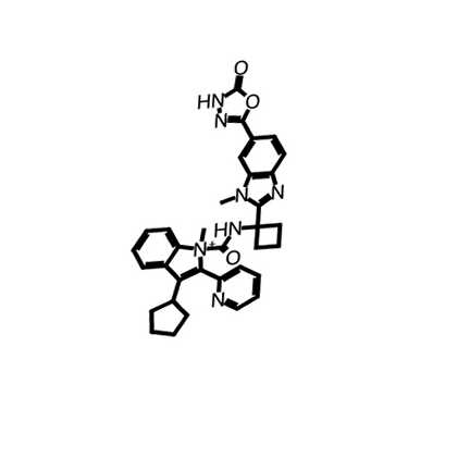 Cn1c(C2(NC(=O)[N+]3(C)C(c4ccccn4)=C(C4CCCC4)c4ccccc43)CCC2)nc2ccc(-c3n[nH]c(=O)o3)cc21